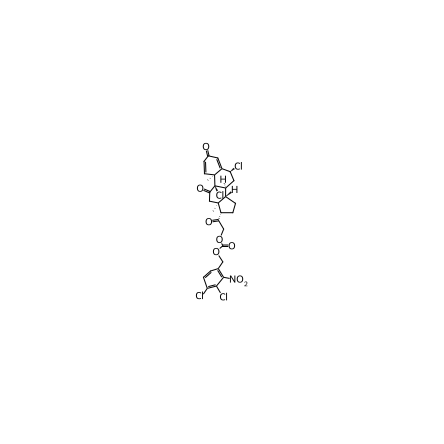 C[C@]12CC(=O)[C@@]3(Cl)[C@@H](C[C@H](Cl)C4=CC(=O)C=C[C@@]43C)[C@@H]1CC[C@@H]2C(=O)COC(=O)OCc1ccc(Cl)c(Cl)c1[N+](=O)[O-]